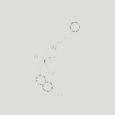 COc1ccc2ncc(Cl)c(C(F)CCC3(C(=O)O)CCN(CCCSc4cccc(F)c4)CC3)c2c1